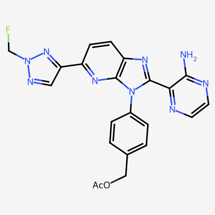 CC(=O)OCc1ccc(-n2c(-c3nccnc3N)nc3ccc(-c4cnn(CF)n4)nc32)cc1